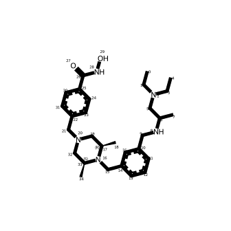 CCN(CC)CC(C)NCc1cccc(CN2[C@H](C)CN(Cc3ccc(C(=O)NO)cc3)C[C@@H]2C)c1